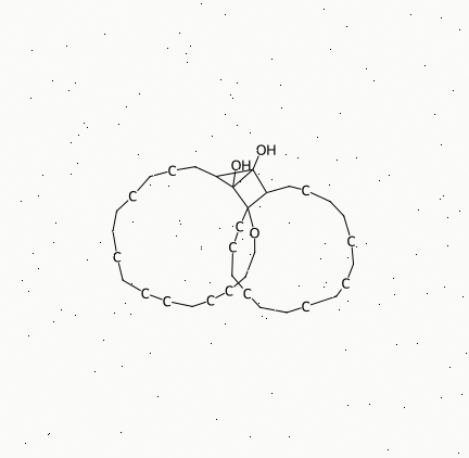 OC12C3CCCCCCCCCCCCCCCC34OCCCCCCCCCCCCCCCC1C42O